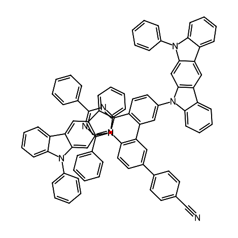 N#Cc1ccc(-c2ccc(-n3c4ccccc4c4cc5c6ccccc6n(-c6ccccc6)c5cc43)c(-c3cc(-n4c5ccccc5c5cc6c7ccccc7n(-c7ccccc7)c6cc54)ccc3-c3nc(-c4ccccc4)nc(-c4ccccc4)n3)c2)cc1